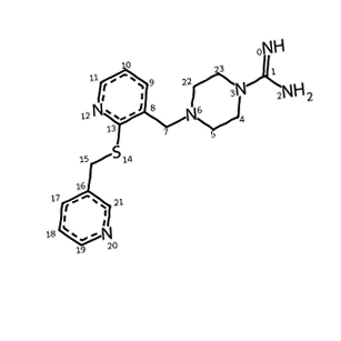 N=C(N)N1CCN(Cc2cccnc2SCc2cccnc2)CC1